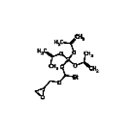 C=C(C)O[Si](OC(=C)C)(OC(=C)C)OC(CC)OCC1CO1